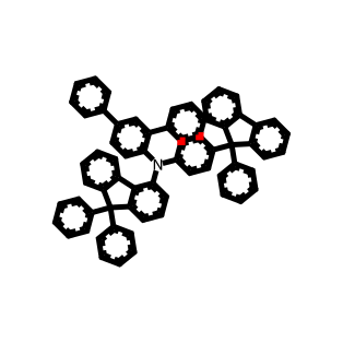 c1ccc(-c2ccc(N(c3ccc(C4(c5ccccc5)c5ccccc5-c5ccccc54)cc3)c3cccc4c3-c3ccccc3C4(c3ccccc3)c3ccccc3)c(-c3ccccc3)c2)cc1